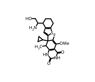 COC1=C(F)C(c2cc3c(s2)CCCC3C(N)CO)(C2CC2)C(C)c2[nH]c(=O)[nH]c(=O)c21